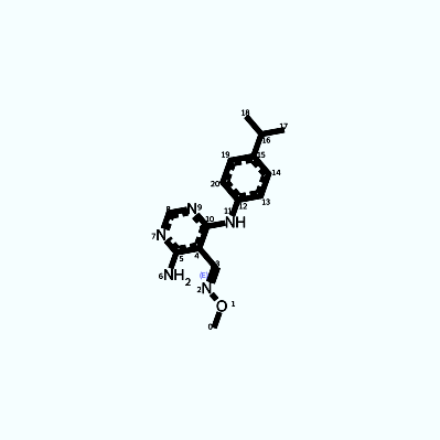 CO/N=C/c1c(N)ncnc1Nc1ccc(C(C)C)cc1